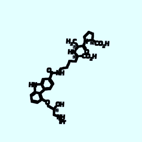 CC(C)NC[C@H](O)COc1cccc2[nH]c3cc(C(=O)NCCCC[C@@H](N[C@@H](C)C(=O)N4CCC[C@H]4C(=O)O)C(=O)O)ccc3c12